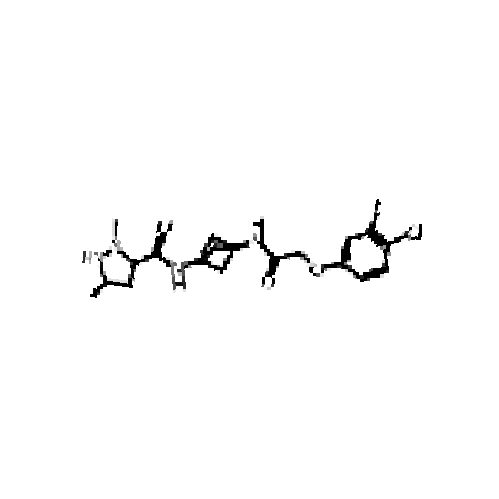 CC1CC(C(=O)NC23CC(NC(=O)COc4ccc(Cl)c(F)c4)(C2)C3)N(C)N1